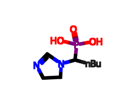 CCCCC(N1C=NCC1)P(=O)(O)O